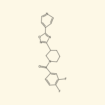 O=C(c1ccc(F)c(F)c1)N1CCCC(c2noc(-c3ccncc3)n2)C1